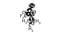 C=CC(=O)N1[C@H](C)CN(c2nc(=O)n3c4c(c(Cl)c(C(F)(F)F)cc24)SC[C@@H](c2cnccn2)C3)C[C@@H]1C